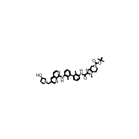 Cc1c(NC(=O)c2nc3c(n2C)CCN(C(=O)OC(C)(C)C)C3)cccc1-c1cccc(Nc2nccc3cc(CN4CCC(O)C4)cnc23)c1C